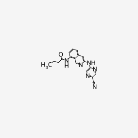 CCCC(=O)Nc1cccc2cc(Nc3cnc(C#N)cn3)ncc12